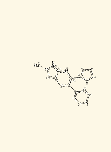 Cc1nc2cc(-c3ccncn3)c(-c3ccco3)nc2[nH]1